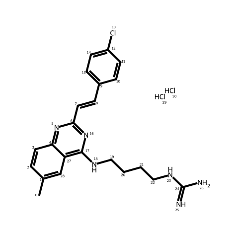 Cc1ccc2nc(/C=C/c3ccc(Cl)cc3)nc(NCCCCNC(=N)N)c2c1.Cl.Cl